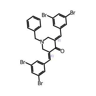 O=C1/C(=C/c2cc(Br)cc(Br)c2)CN(Cc2ccccc2)C/C1=C\c1cc(Br)cc(Br)c1